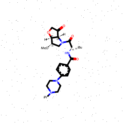 CC[C@H](C)[C@H](NC(=O)c1ccc(N2CCN(C(C)C)CC2)cc1)C(=O)N1C[C@H](OC)[C@H]2OCC(=O)[C@H]21